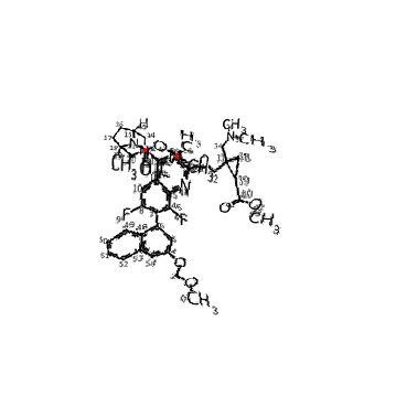 COCOc1cc(-c2c(F)cc3c(N4C[C@H]5CC[C@@](C)(C4)N5C(=O)OC(C)(C)C)nc(OCC4(CN(C)C)CC4C(=O)OC)nc3c2F)c2ccccc2c1